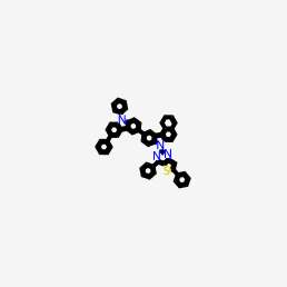 C1=Cc2ccc3c(c2CC1)c1cc(-c2ccc4c(c2)c2cc(-c5ccccc5)ccc2n4-c2ccccc2)ccc1n3-c1nc(-c2ccccc2)c2sc(-c3ccccc3)cc2n1